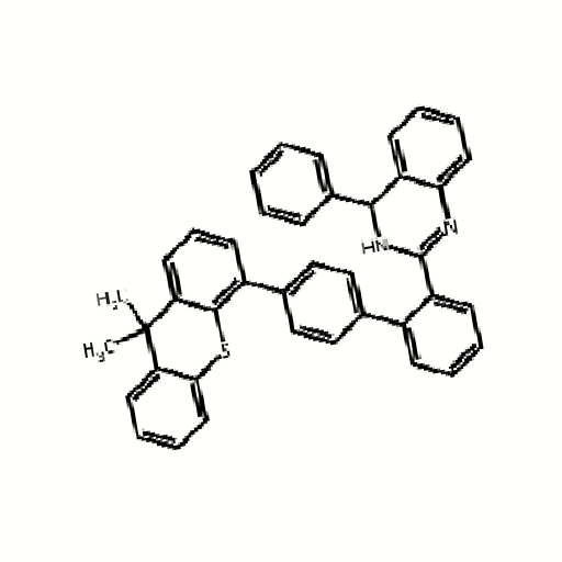 CC1(C)c2ccccc2Sc2c(-c3ccc(-c4ccccc4C4=Nc5ccccc5C(c5ccccc5)N4)cc3)cccc21